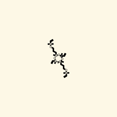 C=C[Si](C)(C)OCCC[Si]1(C)O[Si](C)(C=C)O[Si](C)(CCCO[Si](C)(C)C=C)O[Si](C)(C=C)O1